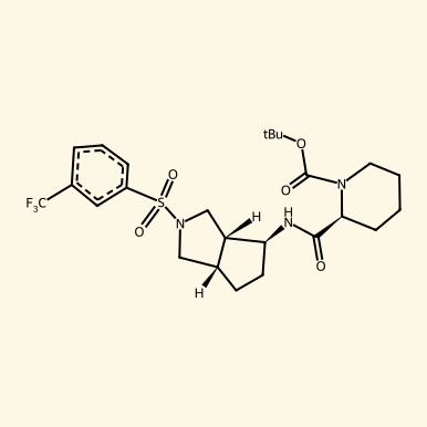 CC(C)(C)OC(=O)N1CCCC[C@H]1C(=O)N[C@H]1CC[C@@H]2CN(S(=O)(=O)c3cccc(C(F)(F)F)c3)C[C@@H]21